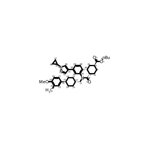 CCCCOC(=O)[C@H]1CC[C@H](C(=O)N(C[C@H]2CC[C@H](c3ccc(OC)c(C)c3)CC2)c2cccc(-c3cnn(C4CC4)c3)c2)CC1